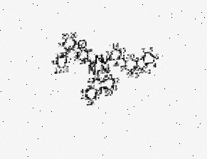 CC1(C)c2ccccc2-c2cc(-c3cccc(-c4nc(-c5ccc6c(c5)oc5cccc(-c7ccccc7)c56)nc(-c5cc6ccccc6c6ccccc56)n4)c3)ccc21